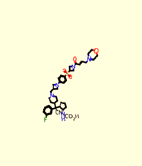 N#C[C@@](c1cccc(F)c1)(C1CCN(CC2CN(c3ccc(S(=O)(=O)C4CN(C(=O)/C=C/CN5CCOCC5)C4)cc3)C2)CC1)[C@H]1CCC[C@@H]1NC(=O)O